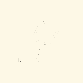 NNc1ccnc(F)c1